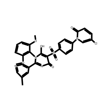 COc1cccc(OC)c1-n1c(-c2cncc(C)c2)nc(=O)c(S(=O)(=O)c2ccc(-n3cc(Cl)ccc3=O)cc2)c1O